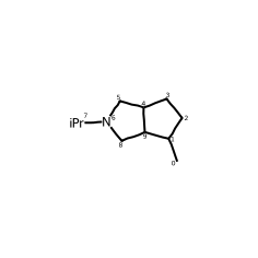 CC1CCC2CN(C(C)C)CC12